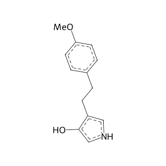 COc1ccc(CCc2c[nH]cc2O)cc1